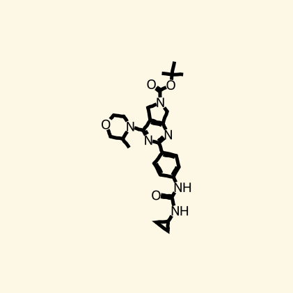 CC1COCCN1c1nc(-c2ccc(NC(=O)NC3CC3)cc2)nc2c1CN(C(=O)OC(C)(C)C)C2